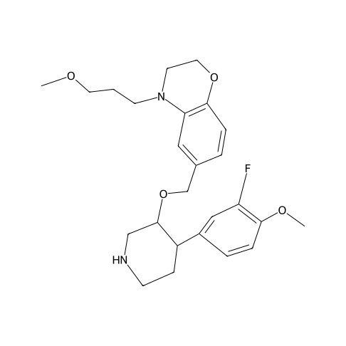 COCCCN1CCOc2ccc(COC3CNCCC3c3ccc(OC)c(F)c3)cc21